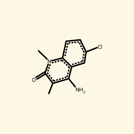 Cc1c(N)c2cc(Cl)ccc2n(C)c1=O